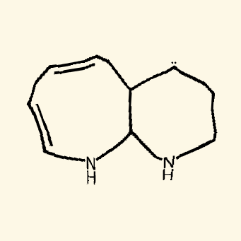 [C]1CCNC2NC=CC=CC12